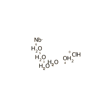 Cl.O.O.O.O.O.[Nb]